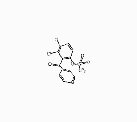 O=C(c1ccncc1)c1c(OS(=O)(=O)C(F)(F)F)ccc(Cl)c1Cl